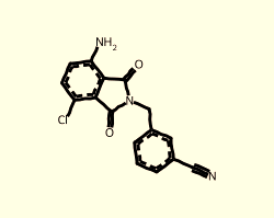 N#Cc1cccc(CN2C(=O)c3c(N)ccc(Cl)c3C2=O)c1